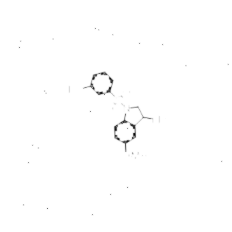 CCCC1CN(S(=O)(=O)c2cccc(C)c2)c2ccc(OC)cc21